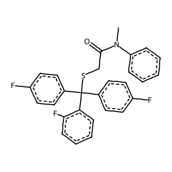 CN(C(=O)CSC(c1ccc(F)cc1)(c1ccc(F)cc1)c1ccccc1F)c1ccccc1